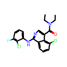 CCN(CC)C(=O)c1cnc(Nc2cccc(F)c2Cl)c2cccc(Cl)c12